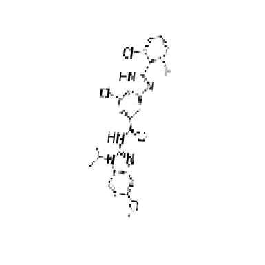 COc1ccc2c(c1)nc(NC(=O)c1cc(Cl)c3[nH]c(-c4c(F)cccc4Cl)nc3c1)n2C(C)C